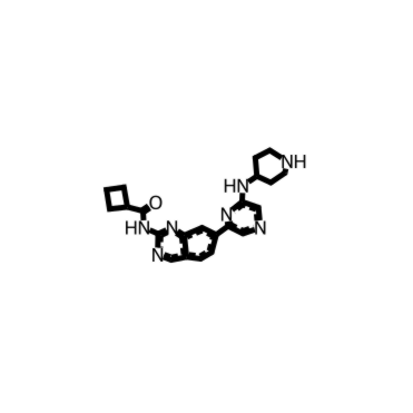 O=C(Nc1ncc2ccc(-c3cncc(NC4CCNCC4)n3)cc2n1)C1CCC1